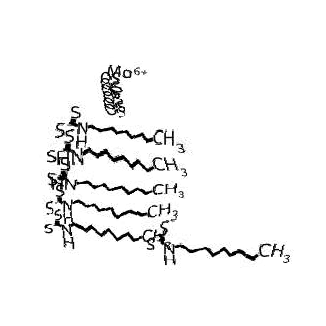 CCCCCCCCCNC(=S)[S-].CCCCCCCCCNC(=S)[S-].CCCCCCCCCNC(=S)[S-].CCCCCCCCCNC(=S)[S-].CCCCCCCCCNC(=S)[S-].CCCCCCCCCNC(=S)[S-].O=S.O=S.O=S.O=S.O=S.O=S.[Mo+6]